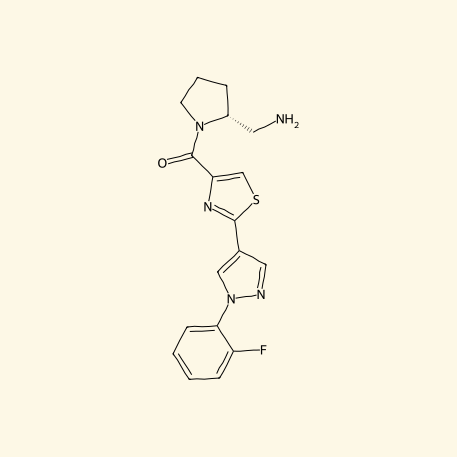 NC[C@H]1CCCN1C(=O)c1csc(-c2cnn(-c3ccccc3F)c2)n1